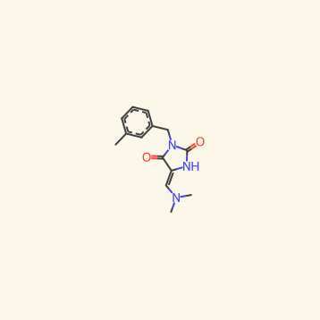 Cc1cccc(CN2C(=O)N/C(=C\N(C)C)C2=O)c1